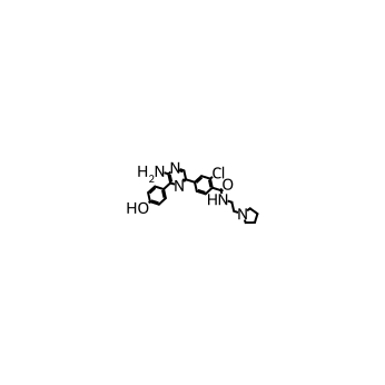 Nc1ncc(-c2ccc(C(=O)NCCN3CCCC3)c(Cl)c2)nc1-c1ccc(O)cc1